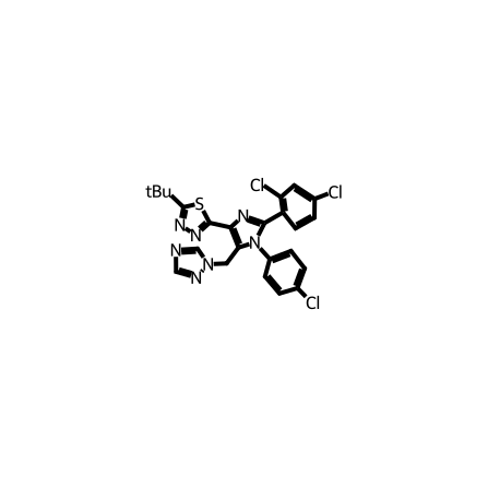 CC(C)(C)c1nnc(-c2nc(-c3ccc(Cl)cc3Cl)n(-c3ccc(Cl)cc3)c2Cn2cncn2)s1